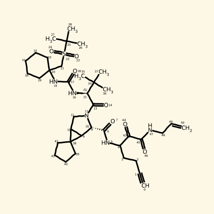 C#CCCC(NC(=O)[C@@H]1C2C(CN1C(=O)[C@@H](NC(=O)NC1(CS(=O)(=O)C(C)(C)C)CCCCC1)C(C)(C)C)C21CCCC1)C(=O)C(=O)NCC=C